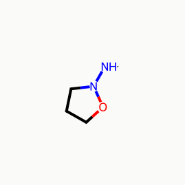 [NH]N1CCCO1